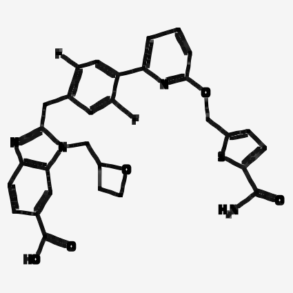 NC(=O)c1ccc(COc2cccc(-c3cc(F)c(Cc4nc5ccc(C(=O)O)cc5n4CC4CCO4)cc3F)n2)s1